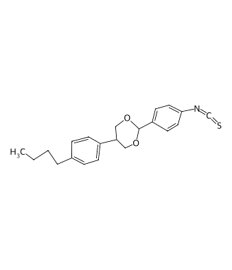 CCCCc1ccc(C2COC(c3ccc(N=C=S)cc3)OC2)cc1